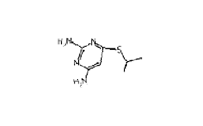 CC(C)Sc1cc(N)nc(N)n1